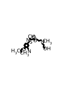 Cc1nc(-c2ccc(OCC(C)C)c(C#N)c2)sc1C(=O)OCCCN(C)CCCO